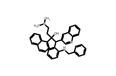 CN(C)CCC(O)(c1cccc2ccccc12)C(c1cnc2ccccc2c1)c1ccccc1NCc1ccccc1